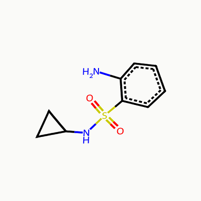 Nc1ccccc1S(=O)(=O)NC1CC1